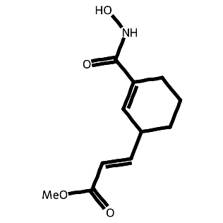 COC(=O)/C=C/C1C=C(C(=O)NO)CCC1